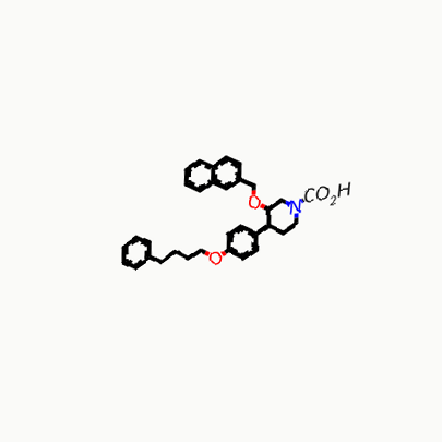 O=C(O)N1CCC(c2ccc(OCCCCc3ccccc3)cc2)C(OCc2ccc3ccccc3c2)C1